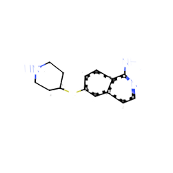 Nc1nccc2cc(SC3CCNCC3)ccc12